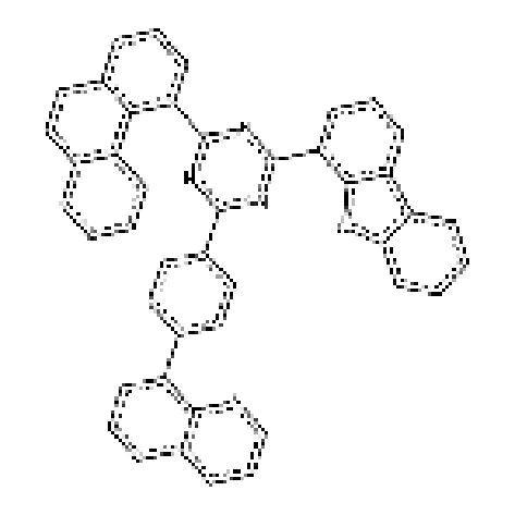 c1cnc2c(-c3ccc(-c4nc(-c5cccc6c5oc5ccccc56)nc(-c5cccc6ccc7ccccc7c56)n4)cc3)cccc2c1